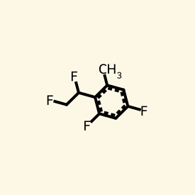 Cc1cc(F)cc(F)c1C(F)CF